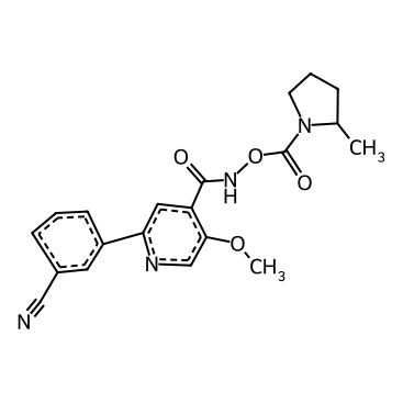 COc1cnc(-c2cccc(C#N)c2)cc1C(=O)NOC(=O)N1CCCC1C